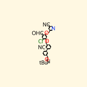 CC(C)(C)[Si](C)(C)OCc1cccc(-c2cccc(COc3cc(OCc4cncc(C#N)c4)c(C=O)cc3Cl)c2C#N)c1